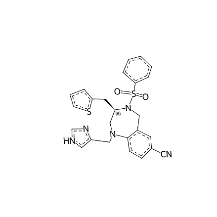 N#Cc1ccc2c(c1)CN(S(=O)(=O)c1ccccc1)[C@H](Cc1cccs1)CN2Cc1c[nH]cn1